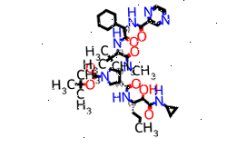 CCC[C@H](NC(=O)[C@@H]1CN(C(=O)OC(C)(C)C)C[C@@H]1N(C)C(=O)[C@@H](NC(=O)[C@@H](NC(=O)c1cnccn1)C1CCCCC1)C(C)(C)C)C(O)C(=O)NC1CC1